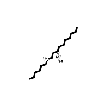 CCCCCCCCCCNCCCCCC.I.I.N